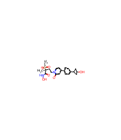 C[C@@](CCn1ccc(-c2ccc(C3CC(O)C3)cc2)cc1=O)(C(=O)NO)S(C)(=O)=O